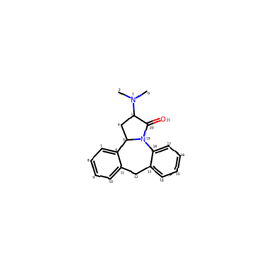 CN(C)C1CC2c3ccccc3Cc3ccccc3N2C1=O